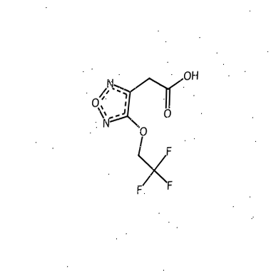 O=C(O)Cc1nonc1OCC(F)(F)F